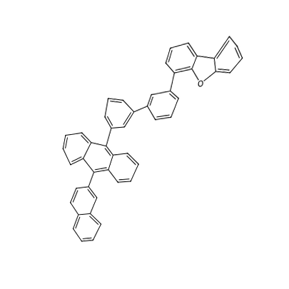 c1cc(-c2cccc(-c3cccc4c3oc3ccccc34)c2)cc(-c2c3ccccc3c(-c3ccc4ccccc4c3)c3ccccc23)c1